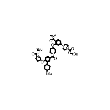 CN(C)C(=O)c1ccc(N2CCN(C(=O)OC(C)(C)C)CC2)cc1OC1CCN(C(=O)c2ccc(O[C@H]3CCN(C(=O)OC(C)(C)C)C3)c(C3CCC(C(C)(C)C)CC3)c2)CC1